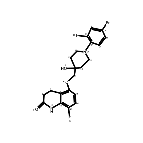 O=C1CCc2c(OCC3(O)CCN(c4ccc(Br)cc4F)CC3)ccc(F)c2N1